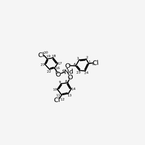 Clc1ccc([O][Nd]([O]c2ccc(Cl)cc2)[O]c2ccc(Cl)cc2)cc1